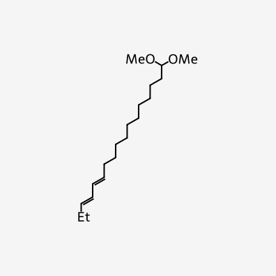 CCC=CC=CCCCCCCCCCCC(OC)OC